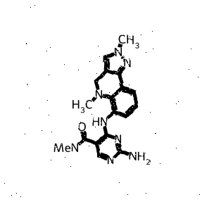 CNC(=O)c1cnc(N)nc1Nc1cccc2c1N(C)Cc1cn(C)nc1-2